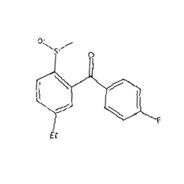 CCc1ccc([S+](C)[O-])c(C(=O)c2ccc(F)cc2)c1